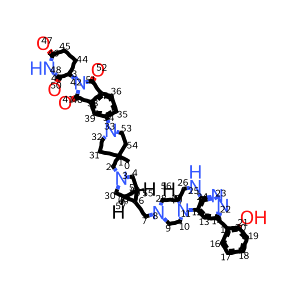 CC1(CN2C[C@@H]3C(CN4CCN5c6cc(-c7ccccc7O)nnc6NC[C@H]5C4)[C@@H]3C2)CCN(c2ccc3c(c2)C(=O)N(C2CCC(=O)NC2=O)C3=O)CC1